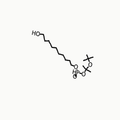 CC(C)(C)OC(C)(C)O[PH](=O)OCCCCCCCCCCO